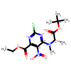 CCOC(=O)c1nc(Cl)nc(N(C)[C@@H](C)C(=O)OC(C)(C)C)c1[N+](=O)[O-]